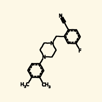 Cc1ccc(N2CCN(Cc3cc(F)ccc3C#N)CC2)cc1C